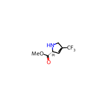 COC(=O)[C@H]1C=C(C(F)(F)F)CN1